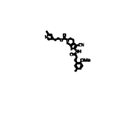 COc1ccc(C)cc1CCC(=O)Nc1sc2c(c1C#N)CCN(C(=O)OCCn1cnc(C)c1)C2